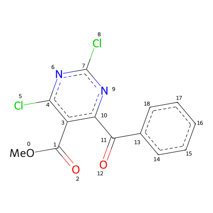 COC(=O)c1c(Cl)nc(Cl)nc1C(=O)c1ccccc1